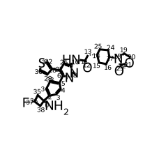 N[C@]1(c2ccc(-c3nnc(NC(=O)C[C@H]4CC[C@H](N5CCOC5=O)CC4)cc3-c3ccsc3)cc2)C[C@@H](F)C1